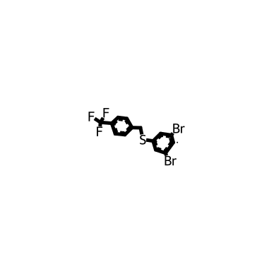 FC(F)(F)c1ccc(CSc2cc(Br)[c]c(Br)c2)cc1